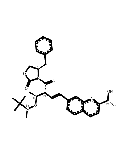 C[C@H](O[SiH](C)C(C)(C)C)[C@@H](/C=C/c1ccc2ccc([C@@H](C)O)nc2c1)C(=O)N1C(=O)OC[C@H]1Cc1ccccc1